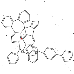 c1ccc(-c2ccc(-c3ccc(N(c4ccccc4)c4ccc5c(c4)C4(c6ccccc6-c6ccccc6-5)c5ccccc5-c5cc6c(cc54)oc4ccccc46)cc3)cc2)cc1